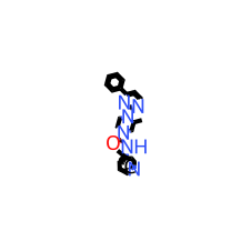 CC1CN(C(=O)NC2(C)CCN3CCC2CC3)CCN1c1nccc(-c2ccccc2)n1